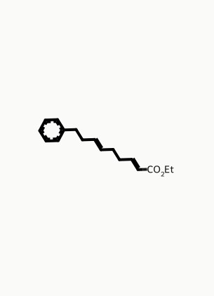 CCOC(=O)/C=C/CC/C=C/CCc1ccccc1